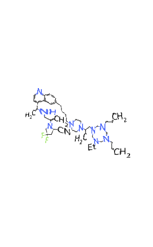 C=CCN1CN(CC)CN(CC(=C)N2CCN(CCCCc3ccc4nccc(C(=C)NCC(=C)N5CC(F)(F)CC5C#N)c4c3)CC2)CN(CC=C)C1